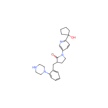 O=C1C(Cc2ccccc2N2CCNCC2)CCN1c1ccc(C2(O)CCCC2)nc1